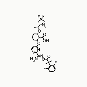 C[C@H](OC1CCCC(Oc2ccnc(C(N)=NOC(=O)C(C)(C)c3c(F)cccc3F)n2)N1C(=O)O)[C@@H]1CC(F)(F)CN1C